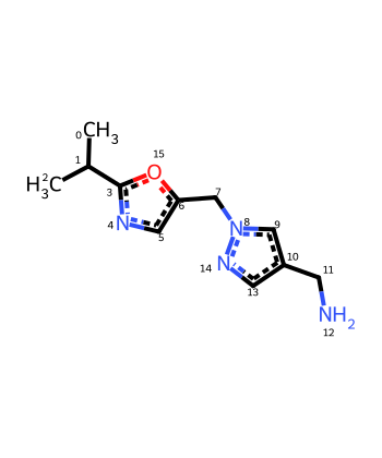 CC(C)c1ncc(Cn2cc(CN)cn2)o1